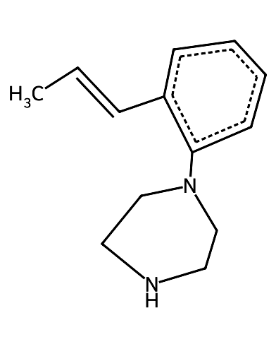 CC=Cc1ccccc1N1CCNCC1